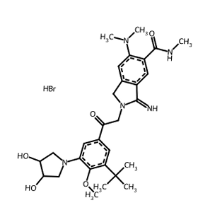 Br.CNC(=O)c1cc2c(cc1N(C)C)CN(CC(=O)c1cc(N3CC(O)C(O)C3)c(OC)c(C(C)(C)C)c1)C2=N